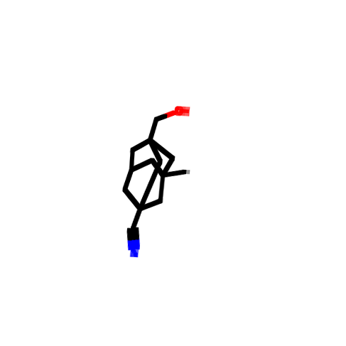 [CH2]C12CC3CC(C#N)(C1)CC(CO)(C3)C2